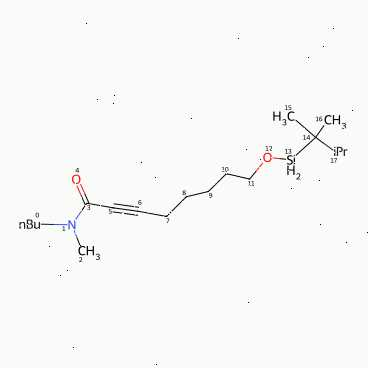 CCCCN(C)C(=O)C#CCCCCCO[SiH2]C(C)(C)C(C)C